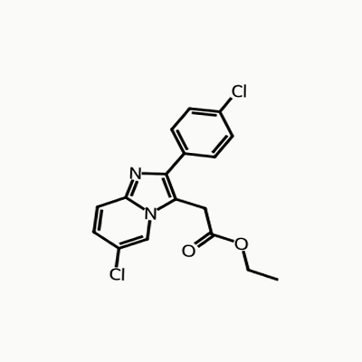 CCOC(=O)Cc1c(-c2ccc(Cl)cc2)nc2ccc(Cl)cn12